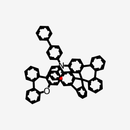 c1ccc(-c2ccc(N(c3ccc4c(c3)-c3ccccc3-c3ccccc3O4)c3ccc4c(c3)C3(c5ccccc5-c5ccccc5-4)c4ccccc4-c4cc5ccccc5cc43)cc2)cc1